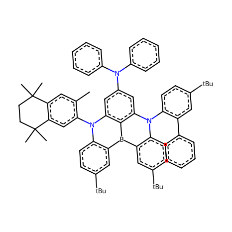 Cc1cc2c(cc1N1c3ccc(C(C)(C)C)cc3B3c4cc(C(C)(C)C)ccc4N(c4ccc(C(C)(C)C)cc4-c4ccccc4)c4cc(N(c5ccccc5)c5ccccc5)cc1c43)C(C)(C)CCC2(C)C